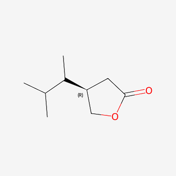 CC(C)C(C)[C@@H]1COC(=O)C1